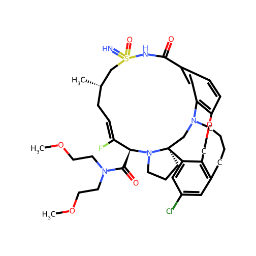 COCCN(CCOC)C(=O)[C@H]1/C(F)=C/C[C@H](C)CS(=N)(=O)NC(=O)c2ccc3c(c2)N2CCCCc4cc(Cl)cc(c4CO3)[C@]3(CCCN13)C2